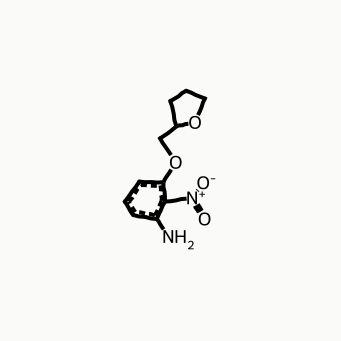 Nc1cccc(OCC2CCCO2)c1[N+](=O)[O-]